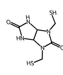 O=C1NC2C(N1)N(CS)C(=O)N2CS